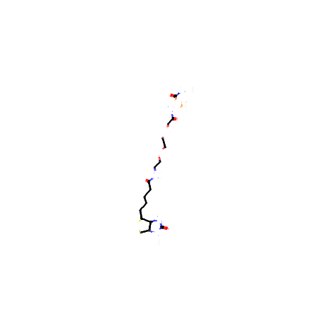 NC(=O)[PH](=P)NC(=O)COCCOCCNC(=O)CCCCC1SCC2NC(=O)NC21